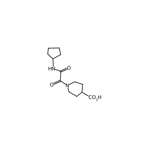 O=C(NC1CCCC1)C(=O)N1CCC(C(=O)O)CC1